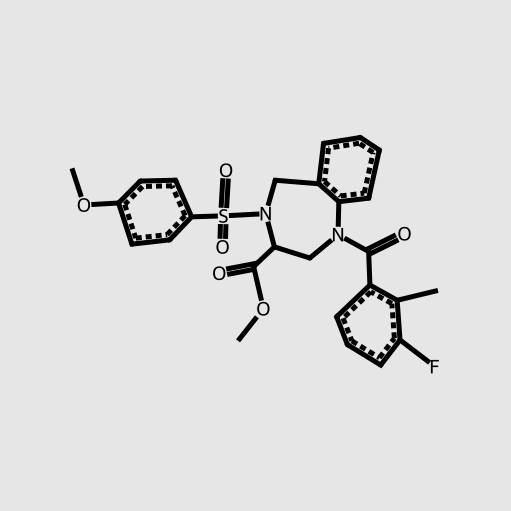 COC(=O)C1CN(C(=O)c2cccc(F)c2C)c2ccccc2CN1S(=O)(=O)c1ccc(OC)cc1